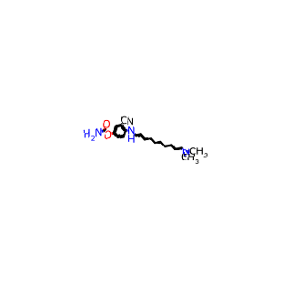 CN(C)CCCCCCCC/C=C/Nc1ccc(OC(N)=O)cc1C#N